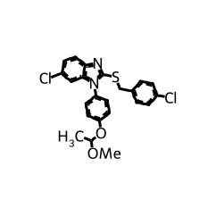 COC(C)Oc1ccc(-n2c(SCc3ccc(Cl)cc3)nc3ccc(Cl)cc32)cc1